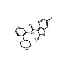 Nc1nn2cc(F)cnc2c1C(=O)Nc1cnccc1N1CCOCC1